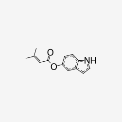 CC(C)=CC(=O)Oc1ccc2[nH]ccc2c1